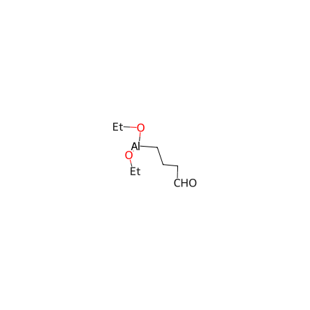 CC[O][Al]([CH2]CCC=O)[O]CC